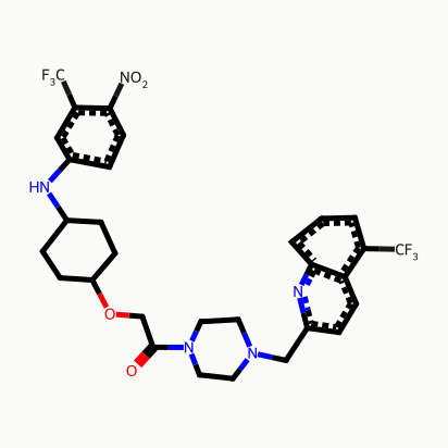 O=C(COC1CCC(Nc2ccc([N+](=O)[O-])c(C(F)(F)F)c2)CC1)N1CCN(Cc2ccc3c(C(F)(F)F)cccc3n2)CC1